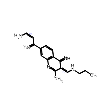 N=C(/C=C\N)c1ccc2c(c1)N=C(N)/C(=C/NCCO)C2=N